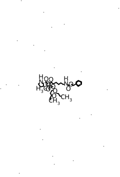 CCCCC(OC(=O)CCC)P(=O)(OC)OC(CCCCNC(=O)OCc1ccccc1)C(=O)OC(=O)[C@@H]1CCCN1